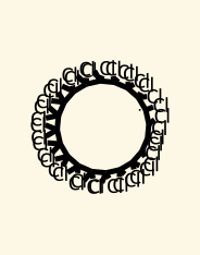 Cl[C]1C(Cl)(Cl)C(Cl)(Cl)C(Cl)(Cl)C(Cl)(Cl)C(Cl)(Cl)C(Cl)(Cl)C(Cl)(Cl)C(Cl)(Cl)C(Cl)(Cl)C(Cl)(Cl)C(Cl)(Cl)C(Cl)(Cl)C(Cl)(Cl)C(Cl)(Cl)C(Cl)(Cl)C(Cl)(Cl)C(Cl)(Cl)C(Cl)(Cl)C1(Cl)Cl